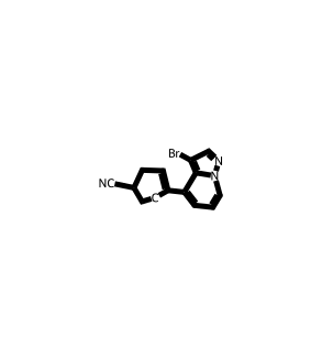 N#CC1CC=C(c2cccn3ncc(Br)c23)CC1